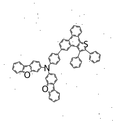 c1ccc(-c2sc3c4ccccc4c4ccc(-c5ccc(N(c6ccc7c(c6)oc6ccccc67)c6ccc7c(c6)oc6ccccc67)cc5)cc4c3c2-c2ccccc2)cc1